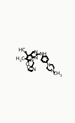 C#Cc1c(C)c(=O)n(Cc2ncco2)c2nc(Nc3ccc(N4CCN(C)CC4)cc3)ncc12